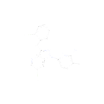 Cc1ccc(-n2nc(Cc3ccccc3F)c3ncc(F)cc32)nc1N